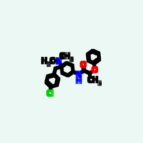 CC(Oc1ccccc1)C(=O)NC1CCC(Cc2ccc(Cl)cc2)(N(C)C)CC1